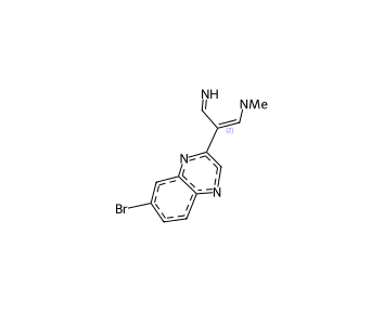 CN/C=C(\C=N)c1cnc2ccc(Br)cc2n1